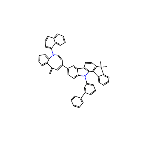 C=C1/C=C(c2ccc3c(c2)c2ccc4c(c2n3-c2cccc(-c3ccccc3)c2)-c2ccccc2C4(C)C)\C=C/N(c2cccc3ccccc23)c2ccccc21